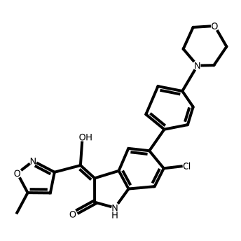 Cc1cc(C(O)=C2C(=O)Nc3cc(Cl)c(-c4ccc(N5CCOCC5)cc4)cc32)no1